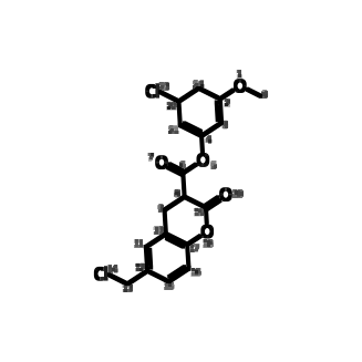 COC1=CC(OC(=O)C2Cc3cc(CCl)ccc3OC2=O)=CC(Cl)C1